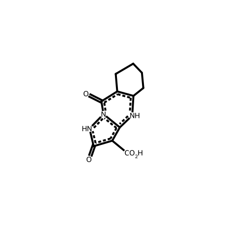 O=C(O)c1c(=O)[nH]n2c(=O)c3c([nH]c12)CCCC3